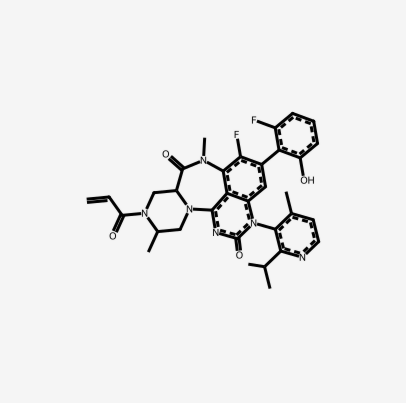 C=CC(=O)N1CC2C(=O)N(C)c3c(F)c(-c4c(O)cccc4F)cc4c3c(nc(=O)n4-c3c(C)ccnc3C(C)C)N2CC1C